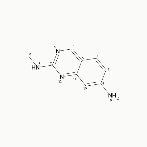 CNc1ncc2ccc(N)cc2n1